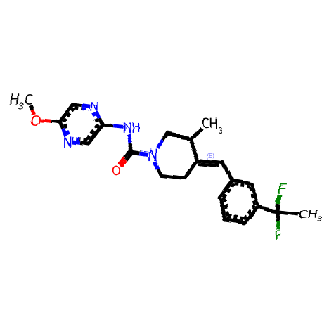 COc1cnc(NC(=O)N2CC/C(=C\c3cccc(C(C)(F)F)c3)C(C)C2)cn1